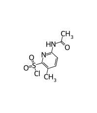 CC(=O)Nc1ccc(C)c(S(=O)(=O)Cl)n1